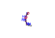 CCCCNC(=S)Nc1ccc2c(c1)Cc1cc(NC(=S)NCCCOC(=O)Nc3ccc4c(c3)Cc3cc(N=C=O)ccc3-4)ccc1-2